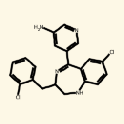 Nc1cncc(C2=NC(Cc3ccccc3Cl)CNc3ccc(Cl)cc32)c1